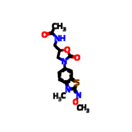 CON=c1sc2cc(N3CC(CNC(C)=O)OC3=O)ccc2n1C